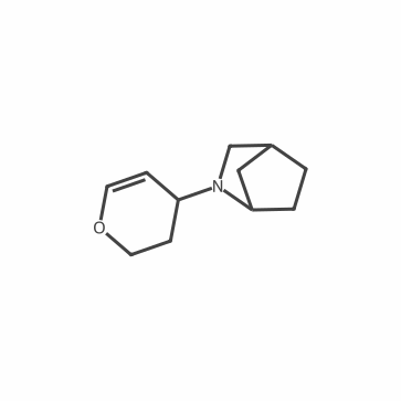 C1=CC(N2CC3CCC2C3)CCO1